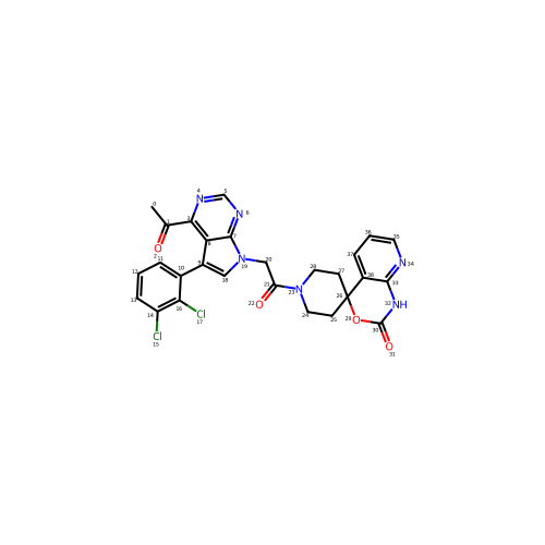 CC(=O)c1ncnc2c1c(-c1cccc(Cl)c1Cl)cn2CC(=O)N1CCC2(CC1)OC(=O)Nc1ncccc12